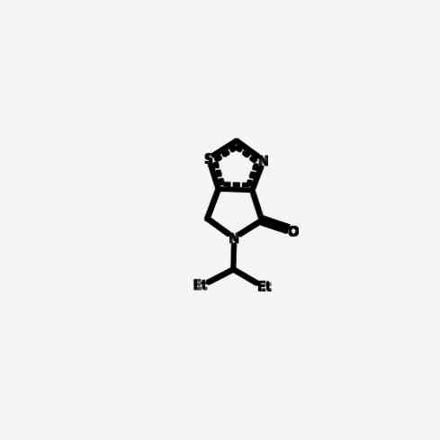 CCC(CC)N1Cc2scnc2C1=O